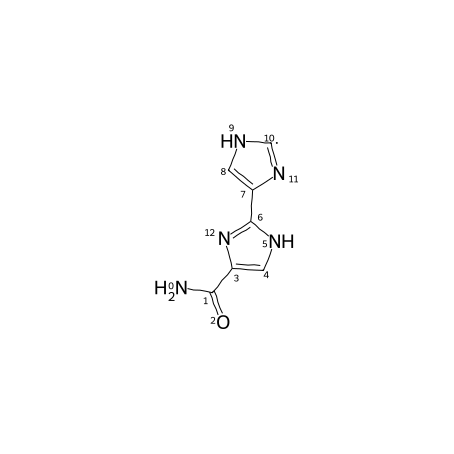 NC(=O)c1c[nH]c(-c2c[nH][c]n2)n1